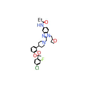 CCC(=O)Nc1ccc2c(c1)nc(CN1CCC(c3cccc4c3OC(C)(c3ccc(Cl)cc3F)O4)CC1)n2CC1CCO1